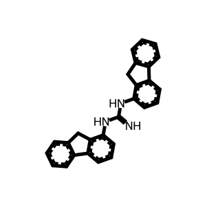 N=C(Nc1cccc2c1Cc1ccccc1-2)Nc1cccc2c1Cc1ccccc1-2